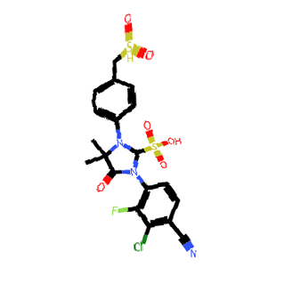 CC1(C)C(=O)N(c2ccc(C#N)c(Cl)c2F)C(S(=O)(=O)O)N1c1ccc(C[SH](=O)=O)cc1